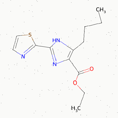 CCCCc1[nH]c(-c2nccs2)nc1C(=O)OCC